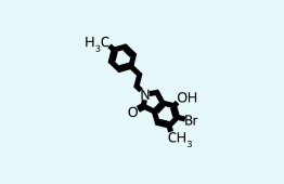 Cc1ccc(CCN2Cc3c(cc(C)c(Br)c3O)C2=O)cc1